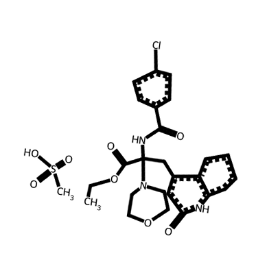 CCOC(=O)C(Cc1cc(=O)[nH]c2ccccc12)(NC(=O)c1ccc(Cl)cc1)N1CCOCC1.CS(=O)(=O)O